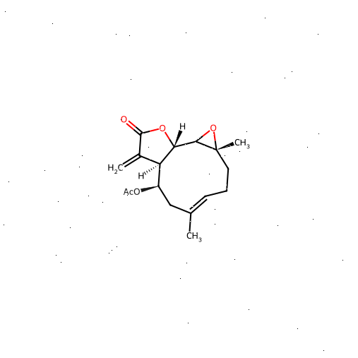 C=C1C(=O)O[C@@H]2C3O[C@]3(C)CC/C=C(\C)C[C@@H](OC(C)=O)[C@@H]12